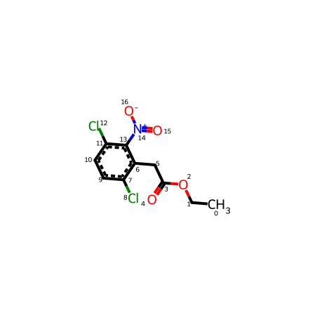 CCOC(=O)Cc1c(Cl)ccc(Cl)c1[N+](=O)[O-]